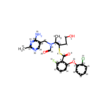 C/C(=C(\CCO)SC(=O)c1c(F)cccc1Oc1ccccc1Cl)N(C=O)Cc1cnc(C)nc1N